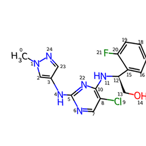 Cn1cc(Nc2ncc(Cl)c(N[C@H](CO)c3ccccc3F)n2)cn1